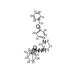 O=C(N[C@H]1CCCN(c2ccc(OCc3ccccc3)cc2)C1)C12CC3CC(C1)C(O)C(C3)C2